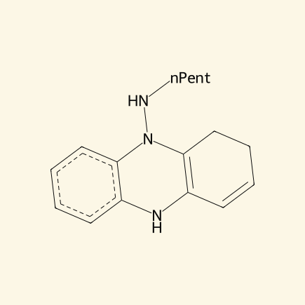 CCCCCNN1C2=C(C=CCC2)Nc2ccccc21